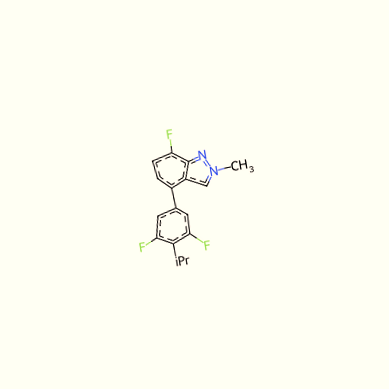 CC(C)c1c(F)cc(-c2ccc(F)c3nn(C)cc23)cc1F